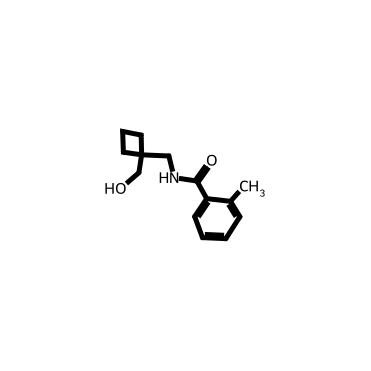 Cc1ccccc1C(=O)NCC1(CO)CCC1